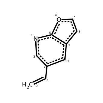 C=Cc1cnc2occc2c1